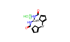 C1=CC[C]([Zr][C]2=CC=CC2)=C1.Cl.Cl.O=C[NH][GaH][NH]C=O